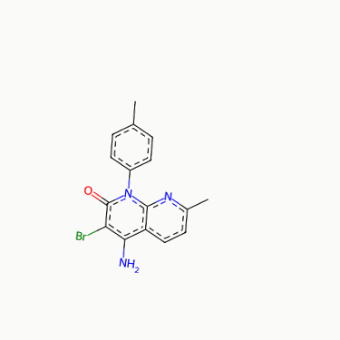 Cc1ccc(-n2c(=O)c(Br)c(N)c3ccc(C)nc32)cc1